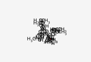 CCN1CCN(C(=O)NC(C(=O)NC(Cc2cccc(C(=O)OC(C)(C)C)c2OC)B2O[C@@H]3C[C@@H]4C[C@@H](C4(C)C)[C@]3(C)O2)c2csc(NC(=O)OC(C)(C)C)n2)C(=O)C1=O